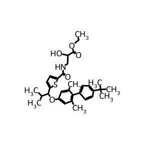 CCOC(=O)C(O)CNC(=O)c1ccc(C(Oc2cc(C)c(-c3ccc(C(C)(C)C)cc3)c(C)c2)C(C)C)s1